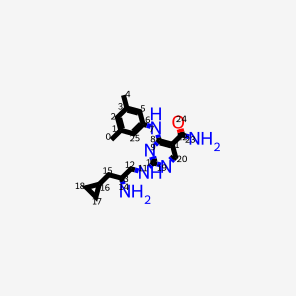 Cc1cc(C)cc(Nc2nc(NCC(N)CC3CC3)ncc2C(N)=O)c1